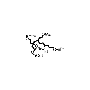 CCCCCCCCOCCC([CH]C(CCOC)CCC(CCCOCCC)OCC)(CCOCCCCCC)OCCCC